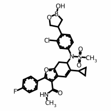 CNC(=O)c1c(-c2ccc(F)cc2)oc2c1C=C(C1CC1)C(N(c1ccc(C3COB(O)C3)c(Cl)c1)S(C)(=O)=O)C2